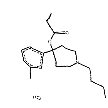 CCCCN1CCC(OC(=O)CC)(c2cccc(C)c2)CC1.Cl